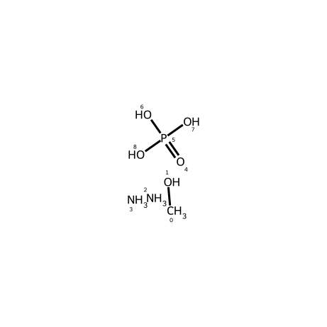 CO.N.N.O=P(O)(O)O